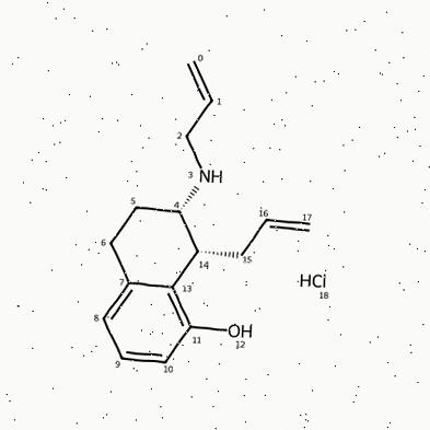 C=CCN[C@H]1CCc2cccc(O)c2[C@H]1CC=C.Cl